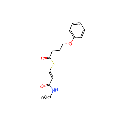 CCCCCCCCNC(=O)C=CSC(=O)CCCOc1ccccc1